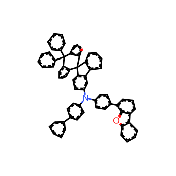 c1ccc(-c2ccc(N(c3ccc(-c4cccc5c4oc4ccccc45)cc3)c3ccc4c(c3)-c3ccccc3C43c4ccccc4C(c4ccccc4)(c4ccccc4)c4ccccc43)cc2)cc1